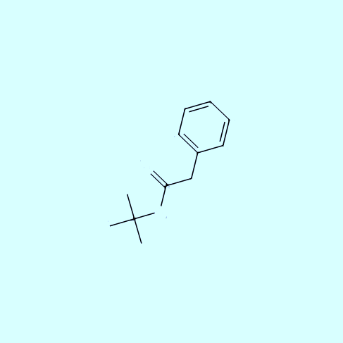 CC(C)(C)OC(=O)Cc1cc[c]cc1